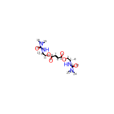 C[C@@H](COC(=O)/C=C/C(=O)OC[C@H](C)NC(=O)N(C)C)NC(=O)N(C)C